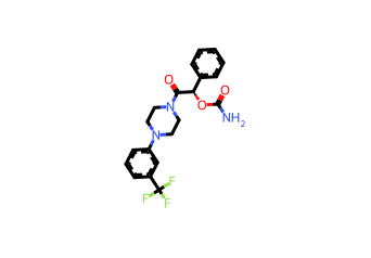 NC(=O)O[C@@H](C(=O)N1CCN(c2cccc(C(F)(F)F)c2)CC1)c1ccccc1